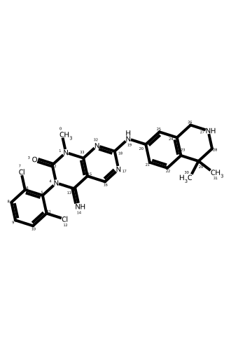 Cn1c(=O)n(-c2c(Cl)cccc2Cl)c(=N)c2cnc(Nc3ccc4c(c3)CNCC4(C)C)nc21